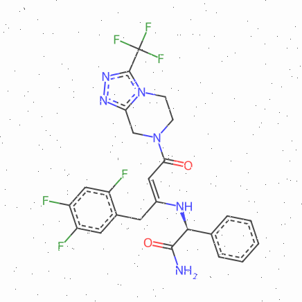 NC(=O)[C@@H](NC(=CC(=O)N1CCn2c(nnc2C(F)(F)F)C1)Cc1cc(F)c(F)cc1F)c1ccccc1